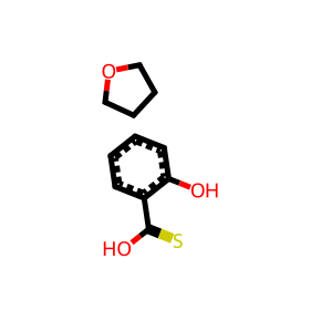 C1CCOC1.OC(=S)c1ccccc1O